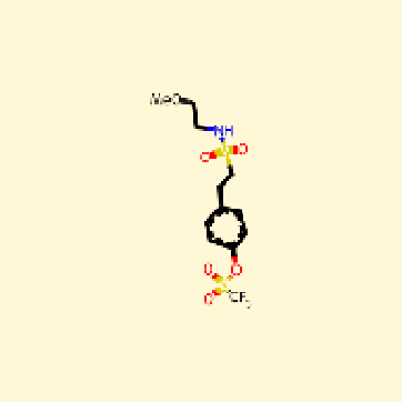 COCCNS(=O)(=O)CCc1ccc(OS(=O)(=O)C(F)(F)F)cc1